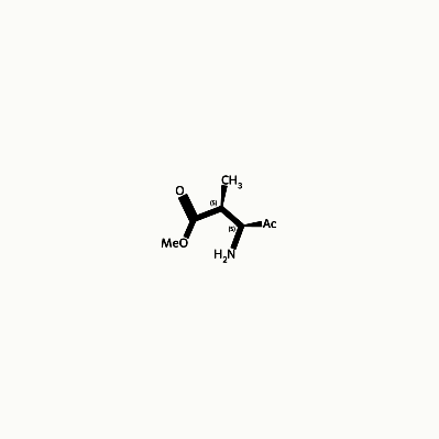 COC(=O)[C@@H](C)[C@H](N)C(C)=O